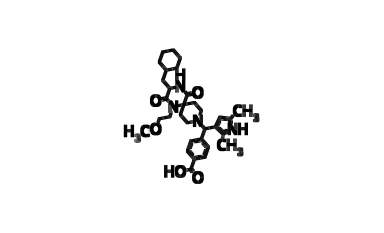 COCCN1C(=O)C(CC2CCCCC2)NC(=O)C12CCN(C(c1ccc(C(=O)O)cc1)c1cc(C)[nH]c1C)CC2